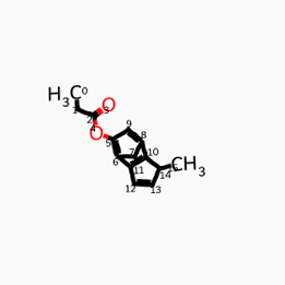 CCC(=O)OC1=C2CC(=C1)C1=C2C=CC1C